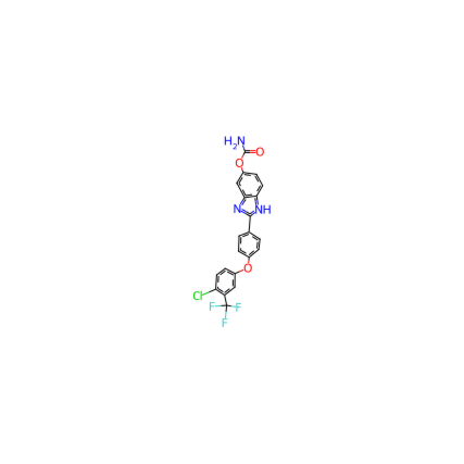 NC(=O)Oc1ccc2[nH]c(-c3ccc(Oc4ccc(Cl)c(C(F)(F)F)c4)cc3)nc2c1